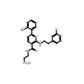 CCOC(=O)CCNC(=O)c1ccc(-c2ccccc2C#N)nc1NCCc1cccc(F)c1